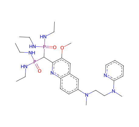 CCNP(=O)(NCC)C(c1nc2ccc(N(C)CCN(C)c3ccccn3)cc2cc1OC)P(=O)(NCC)NCC